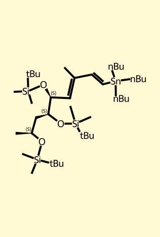 CCC[CH2][Sn]([CH]=CC(C)=C[C@H](O[Si](C)(C)C(C)(C)C)[C@H](C[C@H](C)O[Si](C)(C)C(C)(C)C)O[Si](C)(C)C(C)(C)C)([CH2]CCC)[CH2]CCC